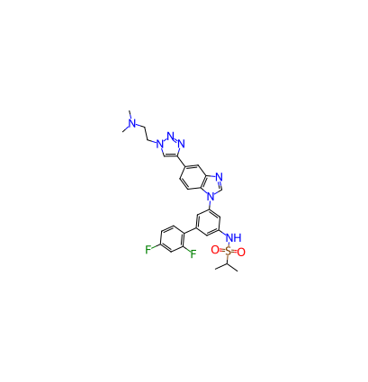 CC(C)S(=O)(=O)Nc1cc(-c2ccc(F)cc2F)cc(-n2cnc3cc(-c4cn(CCN(C)C)nn4)ccc32)c1